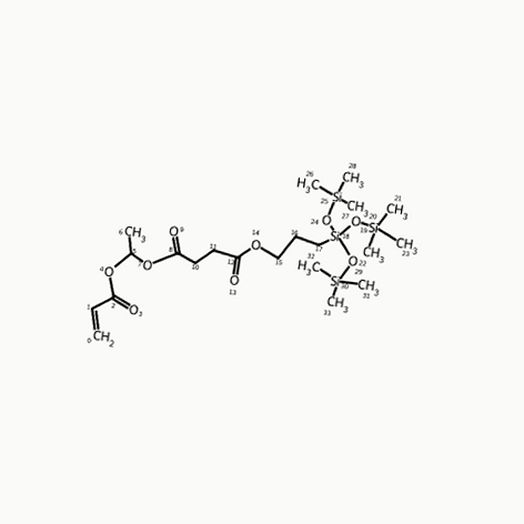 C=CC(=O)OC(C)OC(=O)CCC(=O)OCCC[Si](O[Si](C)(C)C)(O[Si](C)(C)C)O[Si](C)(C)C